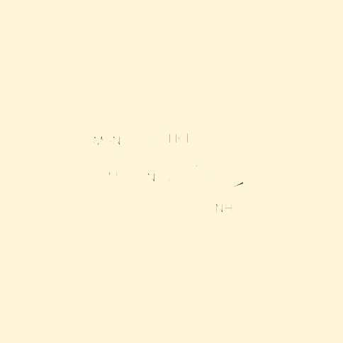 CNC(=O)c1ccc(O[C@H]2CN[C@@H]2C)cn1.Cl